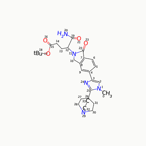 Cn1cc(-c2ccc3c(c2)CN(C(CCC(=O)OC(C)(C)C)C(N)=O)C3=O)nc1C12CCN(CC1)CC2